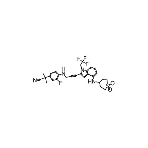 CC(C)(C#N)c1ccc(NCC#Cc2cc3c(NC4CCS(=O)(=O)CC4)cccc3n2CC(F)(F)F)c(F)c1